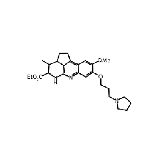 CCOC(=O)C1Nc2nc3cc(OCCCN4CCCC4)c(OC)cc3c3c2C(CC3)C1C